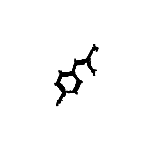 CCC[N+]([O-])=Cc1cc[n+]([O-])cc1